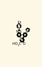 CCN1CCN(c2nc3ccc(-n4cc(C(=O)O)c(=O)cc4-c4ccc(N5CCCC5)cc4)cc3s2)CC1